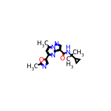 Cc1ncc(-c2cc(C)n3ncc(C(=O)NC(C)(C)C4CC4)c3n2)o1